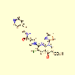 O=C(O)c1cn(-c2nccs2)c2nc(N3CC(C(=O)NCCc4ccncc4)C3)c(F)cc2c1=O